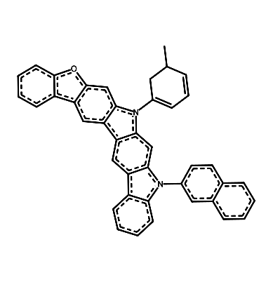 CC1C=CC=C(n2c3cc4oc5ccccc5c4cc3c3cc4c5ccccc5n(-c5ccc6ccccc6c5)c4cc32)C1